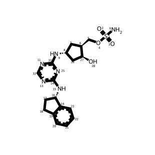 NS(=O)(=O)OC[C@@H]1C[C@@H](Nc2ncnc(N[C@H]3CCc4ccccc43)n2)C[C@@H]1O